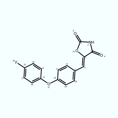 O=C1NC(=O)/C(=C/c2ccc(Oc3ccc(F)cc3)cc2)O1